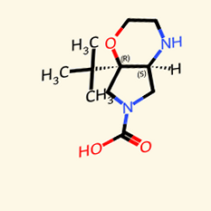 CC(C)(C)[C@@]12CN(C(=O)O)C[C@@H]1NCCO2